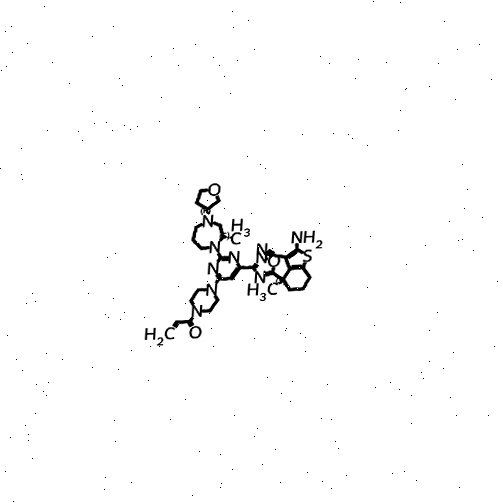 C=CC(=O)N1CCN(c2cc(-c3noc([C@@]4(C)CCCc5sc(N)c(C#N)c54)n3)nc(N3CCCN([C@@H]4CCOC4)C[C@@H]3C)n2)CC1